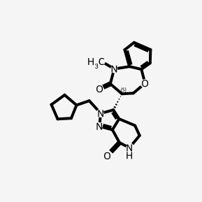 CN1C(=O)[C@@H](c2c3c(nn2CC2CCCC2)C(=O)NCC3)COc2ccccc21